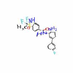 CC(F)(F)S(=N)(=O)c1ccc(C(=O)Nc2cc(-c3ccc(F)cc3)ccc2N)cc1